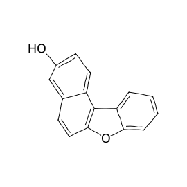 Oc1ccc2c(ccc3oc4ccccc4c32)c1